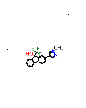 Cn1cc(-c2ccc3c(c2)C(O)(C(F)(F)F)c2ccccc2-3)cn1